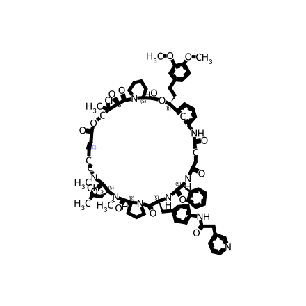 COc1ccc(CC[C@H]2OC(=O)[C@@H]3CCCCN3C(=O)C(=O)C(C)(C)COC(=O)/C=C/CCN(C)C(=O)[C@H](CC(C)C)N(C)C(=O)[C@H]3CCCN3C(=O)[C@H](Cc3ccc(NC(=O)Cc4cccnc4)cc3)NC(=O)[C@H](c3ccccc3)NC(=O)CCC(=O)Nc3cccc2c3)cc1OC